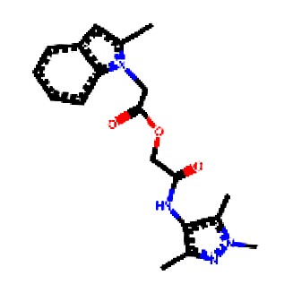 Cc1nn(C)c(C)c1NC(=O)COC(=O)Cn1c(C)cc2ccccc21